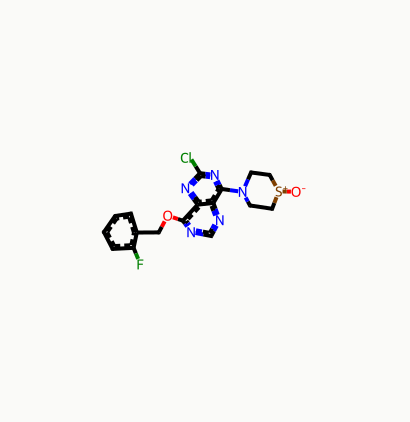 [O-][S+]1CCN(c2nc(Cl)nc3c(OCc4ccccc4F)ncnc23)CC1